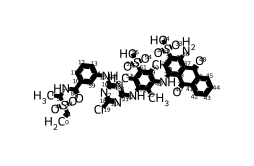 C=CS(=O)(=O)C(C)NC(=O)c1cccc(Nc2nc(Cl)nc(Nc3c(C)c(Nc4cc(S(=O)(=O)O)c(N)c5c4C(=O)c4ccccc4C5=O)c(C)c(S(=O)(=O)O)c3C)n2)c1